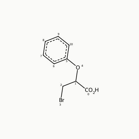 O=C(O)C(CBr)Oc1ccccc1